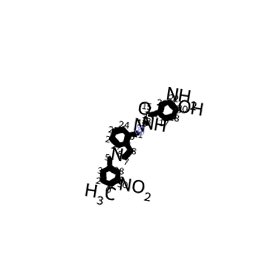 Cc1ccc(Cn2ccc3c(/C=N/NC(=O)c4ccc(O)c(N)c4)cccc32)cc1[N+](=O)[O-]